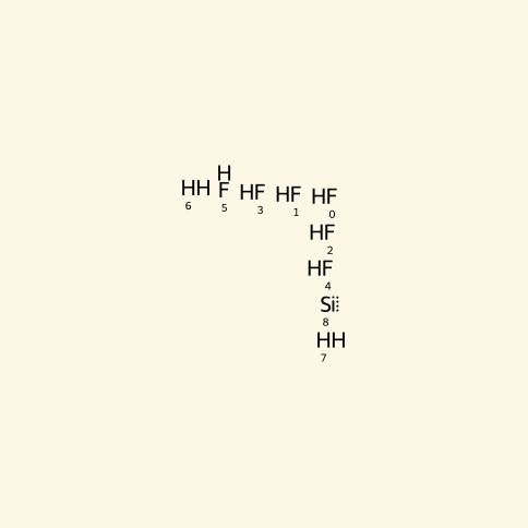 F.F.F.F.F.F.[HH].[HH].[Si]